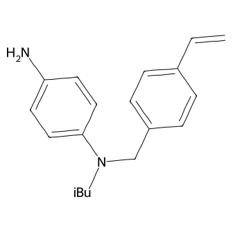 C=Cc1ccc(CN(c2ccc(N)cc2)C(C)CC)cc1